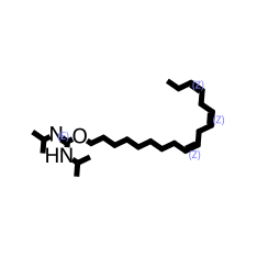 CC/C=C\C/C=C\C/C=C\CCCCCCCCO/C(=N/C(C)C)NC(C)C